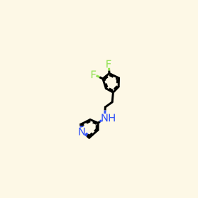 Fc1ccc(CCNc2ccncc2)cc1F